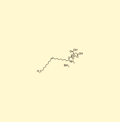 CCCCCCCC/C=C\CCCCCCCC(N)OC(=O)CC(O)(CC(=O)O)C(=O)O.[BiH3]